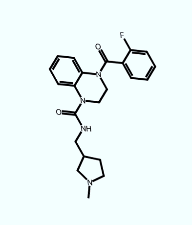 CN1CCC(CNC(=O)N2CCN(C(=O)c3ccccc3F)c3ccccc32)C1